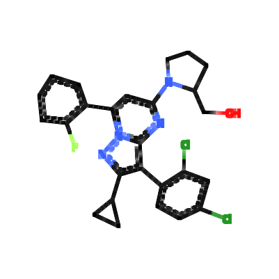 OCC1CCCN1c1cc(-c2ccccc2F)n2nc(C3CC3)c(-c3ccc(Cl)cc3Cl)c2n1